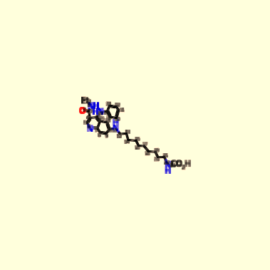 CCNC(=O)c1cnc2ccc(NCCCCCCCCCCNC(=O)O)cc2c1Nc1ccccc1